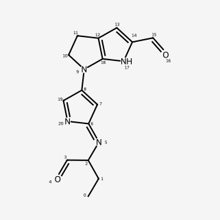 CCC(C=O)/N=C1/C=C(N2CCc3cc(C=O)[nH]c32)C=N1